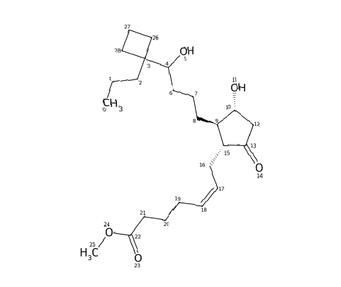 CCCC1(C(O)CCC[C@H]2[C@H](O)CC(=O)[C@@H]2C/C=C\CCCC(=O)OC)CCC1